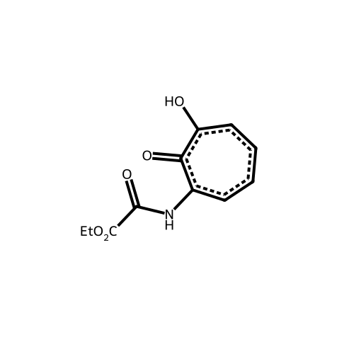 CCOC(=O)C(=O)Nc1ccccc(O)c1=O